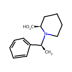 C[C@@H](c1ccccc1)N1CCCC[C@@H]1C(=O)O